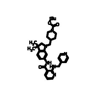 CC(C)(C)OC(=O)N1CCC(CN2CC(C)(C)c3ccc(NC(=O)c4cccnc4NCc4ccncc4)cc32)CC1